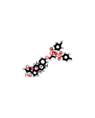 Cc1ccc(S(=O)(=O)OCC(CO[C@H]2CC[C@@]3(C)[C@H](CC[C@@H]4[C@@H]3CC[C@]3(C)[C@@](O)(c5ccoc5)CC[C@]43O)C2)OS(=O)(=O)c2ccc(C)cc2)cc1